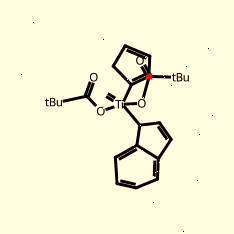 [CH2]=[Ti]([O]C(=O)C(C)(C)C)([O]C(=O)C(C)(C)C)([C]1=CC=CC1)[CH]1C=Cc2ccccc21